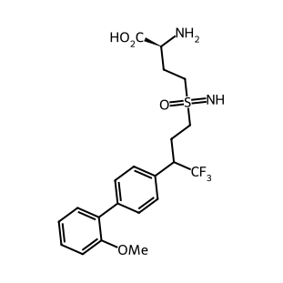 COc1ccccc1-c1ccc(C(CCS(=N)(=O)CC[C@H](N)C(=O)O)C(F)(F)F)cc1